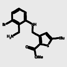 COC(=O)c1sc(C(C)(C)C)cc1CNc1cccc(Br)c1CN